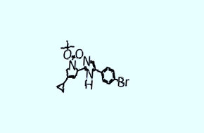 CC(C)(C)OC(=O)N1CC(C2CC2)=CC1c1ncc(-c2ccc(Br)cc2)[nH]1